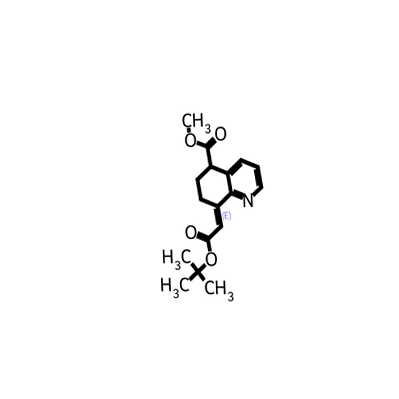 COC(=O)C1CC/C(=C\C(=O)OC(C)(C)C)c2ncccc21